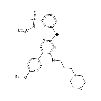 CCOC(=O)N=S(C)(=O)c1cccc(Nc2ncc(-c3ccc(OCC)cc3)c(NCCCN3CCOCC3)n2)c1